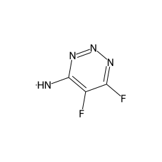 [NH]c1nnnc(F)c1F